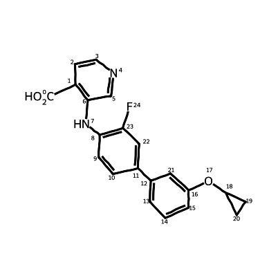 O=C(O)c1ccncc1Nc1ccc(-c2cccc(OC3CC3)c2)cc1F